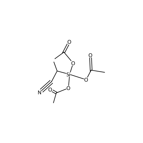 CC(=O)O[Si](OC(C)=O)(OC(C)=O)C(C)C#N